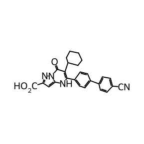 N#Cc1ccc(-c2ccc(-c3[nH]c4cc(C(=O)O)nn4c(=O)c3C3CCCCC3)cc2)cc1